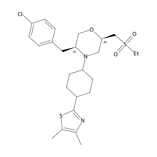 CCS(=O)(=O)C[C@H]1CN(C2CCC(c3nc(C)c(C)s3)CC2)[C@@H](Cc2ccc(Cl)cc2)CO1